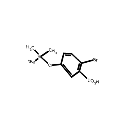 CC(C)(C)[Si](C)(C)Oc1ccc(Br)c(C(=O)O)c1